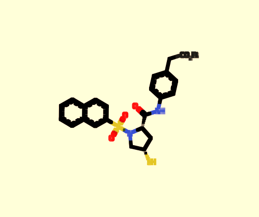 CCOC(=O)Cc1ccc(NC(=O)[C@@H]2C[C@H](S)CN2S(=O)(=O)c2ccc3ccccc3c2)cc1